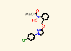 COC(=O)N(O)c1ccccc1COc1ccn(-c2ccc(Cl)cc2)n1